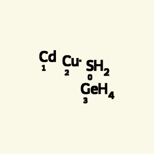 S.[Cd].[Cu].[GeH4]